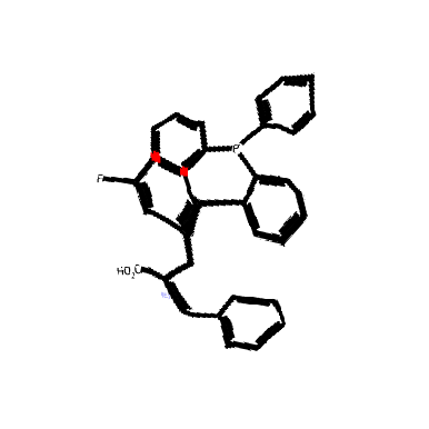 O=C(O)/C(=C/c1ccccc1)Cc1cc(F)ccc1-c1ccccc1P(c1ccccc1)c1ccccc1